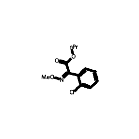 CCCOC(=O)C(=NOC)c1c[c]ccc1Cl